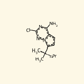 CCCC(C)(C)c1ccc2c(N)nc(Cl)nn12